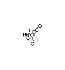 O=C(Nc1ccccc1)NC1C(=O)NCC1c1c(F)cc(OCc2ccccc2)cc1F